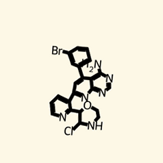 Nc1ncnc2nc(-c3cccnc3C3OCCNC3Cl)cc(-c3cccc(Br)c3)c12